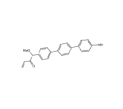 C=CC(=O)C(OC)c1ccc(-c2ccc(-c3ccc(CCC)cc3)cc2)cc1